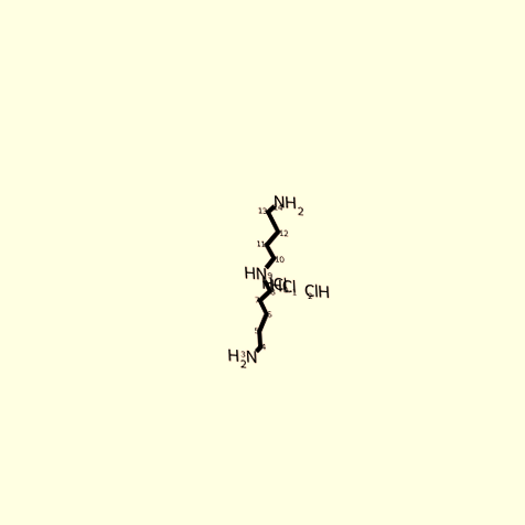 Cl.Cl.Cl.NCCCCCNCCCCN